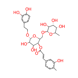 Cc1ccc(/C=C/C(=O)O[C@@H]2C(CO[C@@H]3OC(C)[C@@H](O)[C@@H](O)C3O)O[C@@H](OCCc3ccc(O)c(O)c3)C(O)[C@@H]2O)cc1O